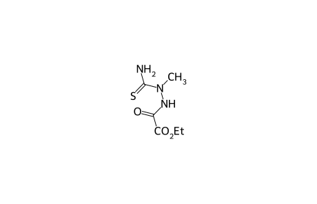 CCOC(=O)C(=O)NN(C)C(N)=S